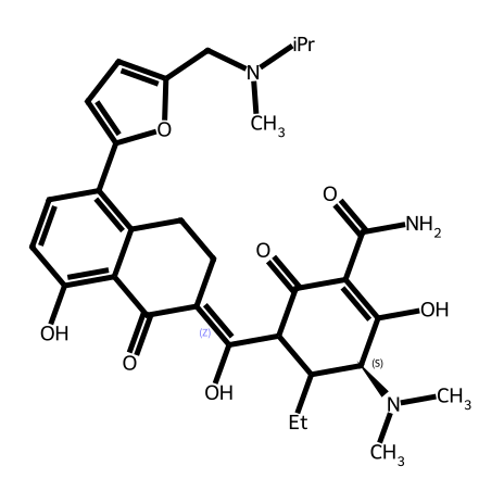 CCC1C(/C(O)=C2\CCc3c(-c4ccc(CN(C)C(C)C)o4)ccc(O)c3C2=O)C(=O)C(C(N)=O)=C(O)[C@H]1N(C)C